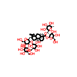 C=C1C[C@@]23CC[C@H]4[C@@](C)(CCC[C@@]4(C)C(=O)O[C@@H]4O[C@H](CO)[C@@H](O)[C@H](O)[C@H]4C[C@@H]4O[C@@H](C)[C@H](O)[C@@H](O)[C@H]4O)[C@@H]2CC[C@]1(C[C@@H]1O[C@H](CO)[C@@H](O)[C@H](O[C@@H]2O[C@H](CO)[C@@H](O)[C@H](O)[C@H]2O)[C@H]1O[C@@H]1O[C@H](CO)[C@@H](O)[C@H](O)[C@H]1O)C3